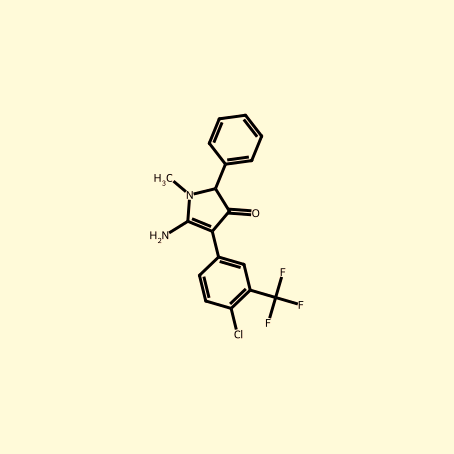 CN1C(N)=C(c2ccc(Cl)c(C(F)(F)F)c2)C(=O)C1c1ccccc1